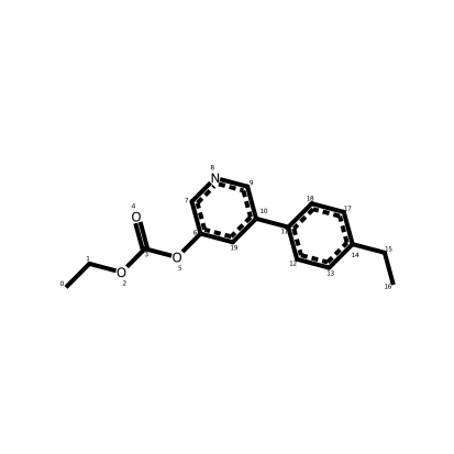 CCOC(=O)Oc1cncc(-c2ccc(CC)cc2)c1